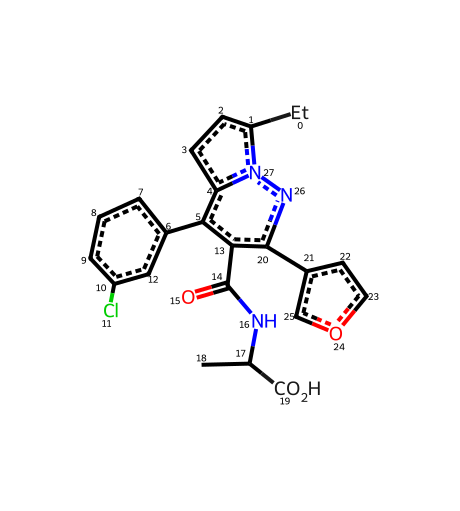 CCc1ccc2c(-c3cccc(Cl)c3)c(C(=O)NC(C)C(=O)O)c(-c3ccoc3)nn12